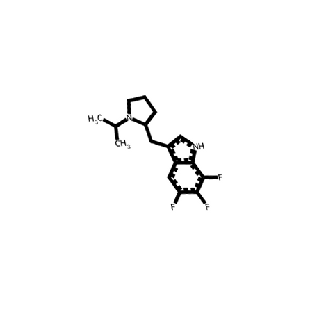 CC(C)N1CCCC1Cc1c[nH]c2c(F)c(F)c(F)cc12